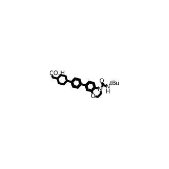 CC(C)(C)NC(=O)N1CCOc2cc(-c3ccc(C4CCC(CC(=O)O)CC4)cc3)ccc21